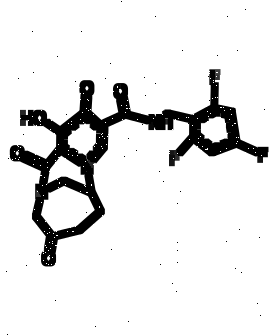 O=C1CCC2CN(C1)C(=O)c1c(O)c(=O)c(C(=O)NCc3c(F)cc(F)cc3F)cn12